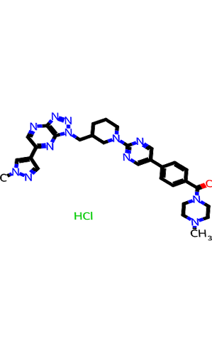 CN1CCN(C(=O)c2ccc(-c3cnc(N4CCCC(Cn5nnc6ncc(-c7cnn(C)c7)nc65)C4)nc3)cc2)CC1.Cl